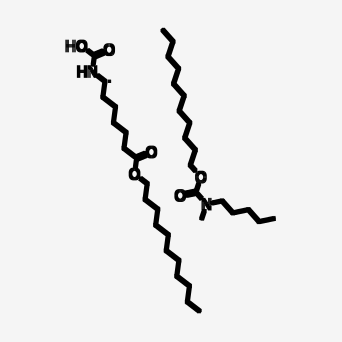 CCCCCCCCCCCOC(=O)CCCCC[CH]NC(=O)O.CCCCCCCCCCCOC(=O)N(C)CCCCC